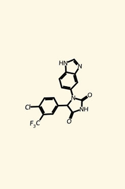 O=C1NC(=O)N(c2ccc3[nH]cnc3c2)C1c1ccc(Cl)c(C(F)(F)F)c1